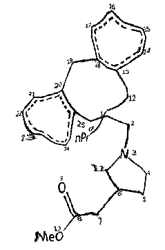 CCCC1(CN2CCC(CC(=O)OC)C2)Cc2ccccc2Cc2ccccc21